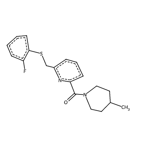 CC1CCN(C(=O)c2cccc(CSc3ccccc3F)n2)CC1